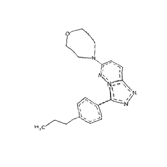 CCCc1ccc(-c2nnc3ccc(N4CCOCC4)nn23)cc1